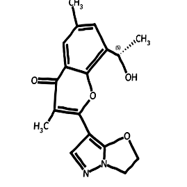 Cc1cc([C@H](C)O)c2oc(-c3cnn4c3OCC4)c(C)c(=O)c2c1